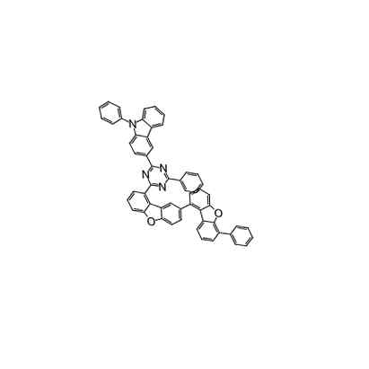 c1ccc(-c2nc(-c3ccc4c(c3)c3ccccc3n4-c3ccccc3)nc(-c3cccc4oc5ccc(-c6cccc7oc8c(-c9ccccc9)cccc8c67)cc5c34)n2)cc1